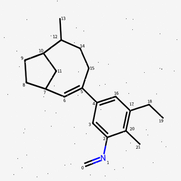 C=Nc1cc(/C2=C/C3CCC(C3)C(C)CC2)cc(CC)c1C